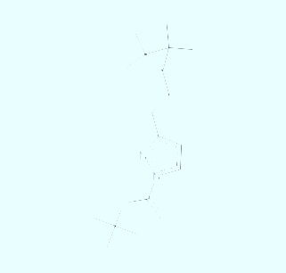 CC(C)(C)OC(=O)n1ccc(CCC2C(C)(C)C2(C)C)n1